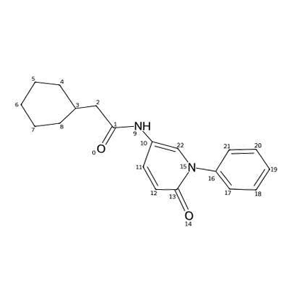 O=C(CC1CCCCC1)Nc1ccc(=O)n(-c2ccccc2)c1